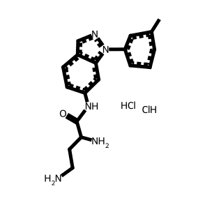 Cc1cccc(-n2ncc3ccc(NC(=O)C(N)CCN)cc32)c1.Cl.Cl